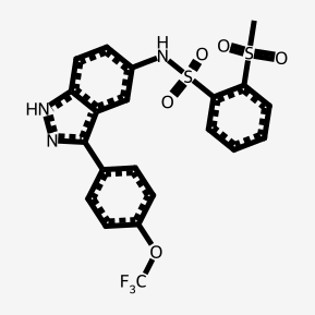 CS(=O)(=O)c1ccccc1S(=O)(=O)Nc1ccc2[nH]nc(-c3ccc(OC(F)(F)F)cc3)c2c1